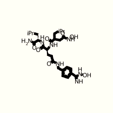 CC(C)CC(CC(=O)NO)C(=O)N[C@@H](CCC(=O)NCc1ccc(C(=N)NO)cc1)C(=O)N[C@@H](CC(C)C)C(N)=O